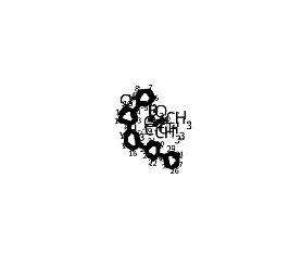 CC1(C)OB(c2cccc3oc4ccc(-c5cccc(-c6ccc(-c7ccccc7)cc6)c5)cc4c23)OC1(C)C